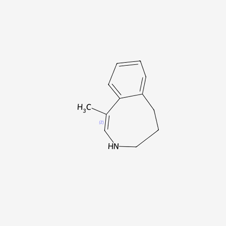 C/C1=C/NCCCc2ccccc21